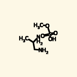 CC(N)CN.COS(=O)(=O)O